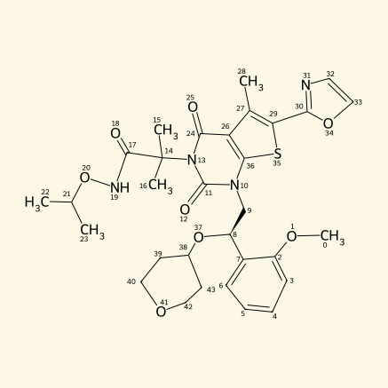 COc1ccccc1[C@H](Cn1c(=O)n(C(C)(C)C(=O)NOC(C)C)c(=O)c2c(C)c(-c3ncco3)sc21)OC1CCOCC1